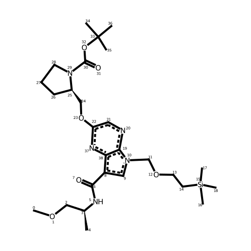 COC[C@H](C)NC(=O)c1cn(COCC[Si](C)(C)C)c2ncc(OC[C@H]3CCCN3C(=O)OC(C)(C)C)nc12